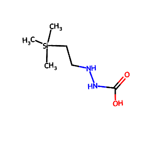 C[Si](C)(C)CCNNC(=O)O